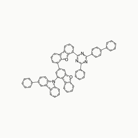 c1ccc(-c2ccc(-c3nc(-c4ccccc4)nc(-c4cccc5c4oc4c(-c6cc(-n7c8ccccc8c8cc(-c9ccccc9)ccc87)c7c(c6)oc6ccccc67)cccc45)n3)cc2)cc1